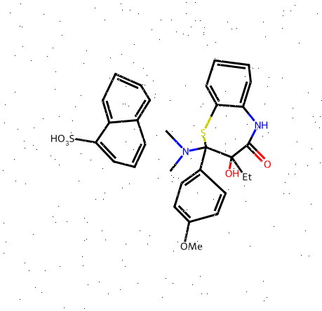 CCC1(O)C(=O)Nc2ccccc2SC1(c1ccc(OC)cc1)N(C)C.O=S(=O)(O)c1cccc2ccccc12